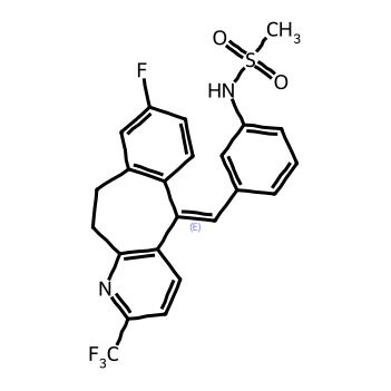 CS(=O)(=O)Nc1cccc(/C=C2\c3ccc(F)cc3CCc3nc(C(F)(F)F)ccc32)c1